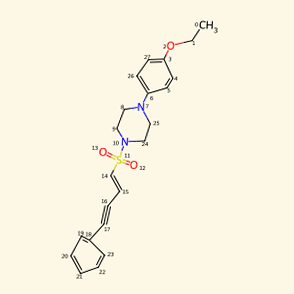 CCOc1ccc(N2CCN(S(=O)(=O)C=CC#Cc3ccccc3)CC2)cc1